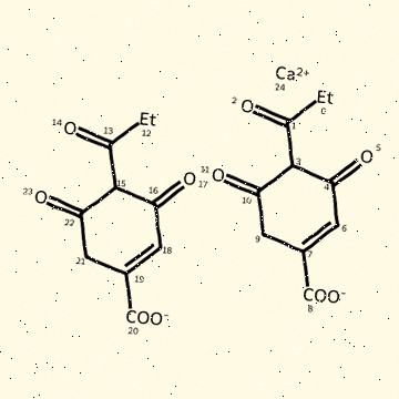 CCC(=O)C1C(=O)C=C(C(=O)[O-])CC1=O.CCC(=O)C1C(=O)C=C(C(=O)[O-])CC1=O.[Ca+2]